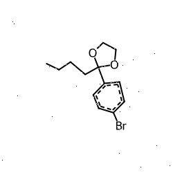 CCCCC1(c2ccc(Br)cc2)OCCO1